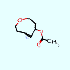 CC(=O)OC1/C=C/CCOCC1